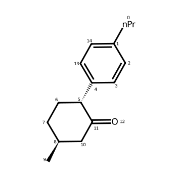 CCCc1ccc([C@H]2CC[C@H](C)CC2=O)cc1